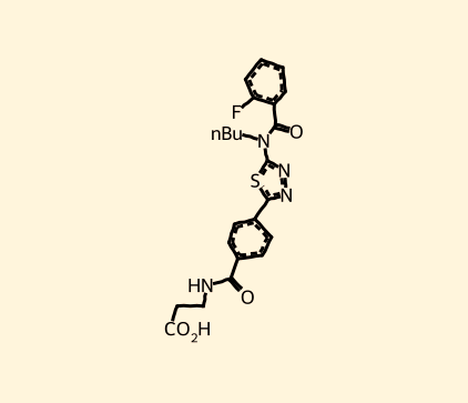 CCCCN(C(=O)c1ccccc1F)c1nnc(-c2ccc(C(=O)NCCC(=O)O)cc2)s1